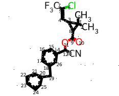 CC1(C)C(/C=C(\Cl)C(F)(F)F)C1C(=O)OC(C#N)c1cccc(Cc2ccccc2)c1